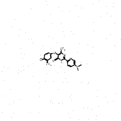 CN(C)c1ccc(-c2nc(C(F)(F)F)c(Oc3ccc(Cl)c(C(F)(F)F)c3)c(=O)[nH]2)nc1